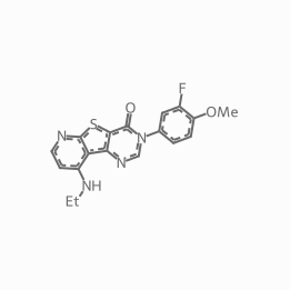 CCNc1ccnc2sc3c(=O)n(-c4ccc(OC)c(F)c4)cnc3c12